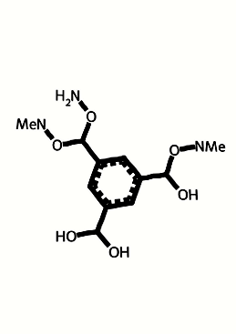 CNOC(O)c1cc(C(O)O)cc(C(ON)ONC)c1